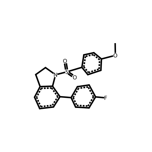 COc1ccc(S(=O)(=O)N2CCc3cccc(-c4ccc(F)cc4)c32)cc1